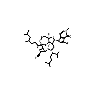 CC(C)CCC(C(C)C)P(OCCC#N)OC1[C@H]2O[Si](C(C)C)(C(C)CCC(C)SC(C)C)OOC[C@H]2O[C@H]1n1cc(F)c2c(=O)n(C)cnc21